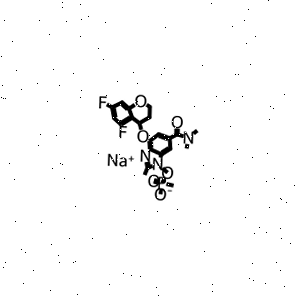 Cc1nc2c(OC3CCOc4cc(F)cc(F)c43)cc(C(=O)N(C)C)cc2n1OP(C)(=O)[O-].[Na+]